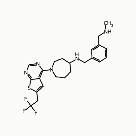 CNCc1cccc(CNC2CCCN(c3ncnc4sc(CC(F)(F)F)cc34)CC2)c1